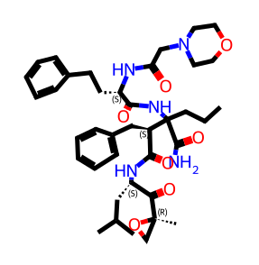 CCCC(NC(=O)[C@H](CCc1ccccc1)NC(=O)CN1CCOCC1)(C(N)=O)[C@H](Cc1ccccc1)C(=O)N[C@@H](CC(C)C)C(=O)[C@@]1(C)CO1